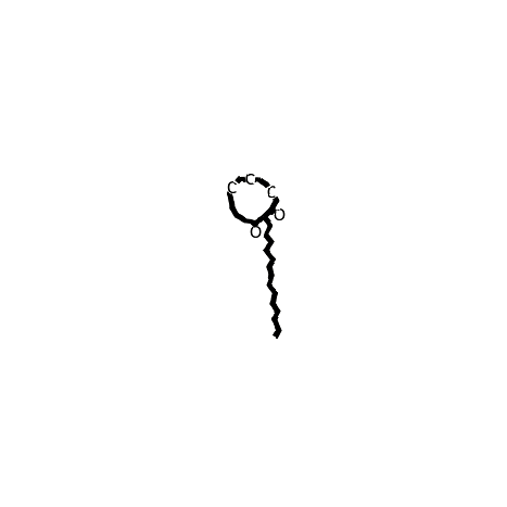 CCCCCCCCCCCCCCC1C(=O)CCCCCCCCCCCC1=O